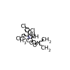 C=CCN(CC=C)C(=O)CC(=O)C(=N)/C(C)=C(\Nc1ccc(Cl)cc1Cl)C1=CCC(Cl)S1